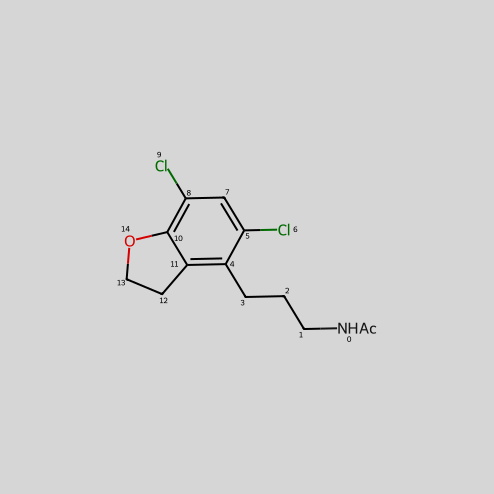 CC(=O)NCCCc1c(Cl)cc(Cl)c2c1CCO2